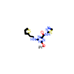 CC(C)Oc1nc(NCCc2cccs2)nc(C(=O)Nc2nncs2)n1